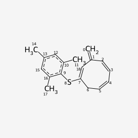 C=C1/C=C\C=C/C/C(Sc2c(C)cc(C)cc2C)=C\1